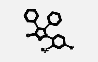 Cc1cc(Br)ccc1-n1oc(=O)c(-c2ccccc2)c1-c1ccccc1